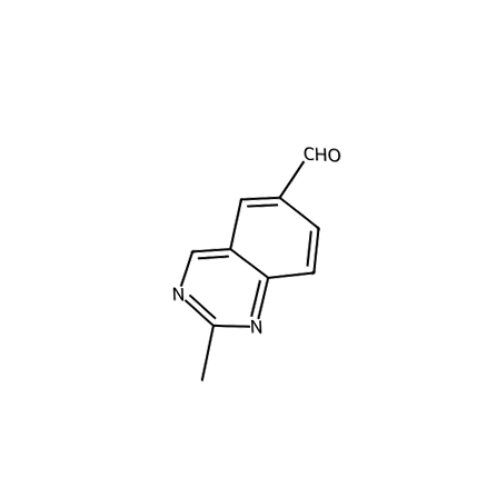 Cc1ncc2cc(C=O)ccc2n1